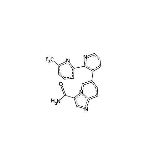 NC(=O)c1cnc2ccc(-c3cccnc3-c3cccc(C(F)(F)F)n3)cn12